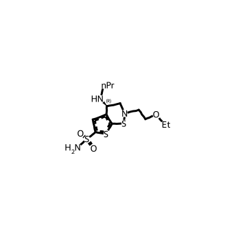 CCCN[C@H]1CN(CCOCC)Sc2sc(S(N)(=O)=O)cc21